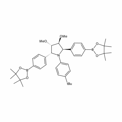 CO[C@@H]1[C@@H](OC)[C@@H](c2ccc(B3OC(C)(C)C(C)(C)O3)cc2)N(c2ccc(C(C)(C)C)cc2)[C@@H]1c1ccc(B2OC(C)(C)C(C)(C)O2)cc1